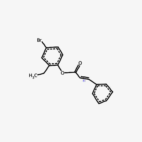 CCc1cc(Br)ccc1OC(=O)/C=C/c1ccccc1